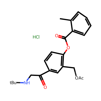 CC(=O)OCc1cc(C(=O)CNC(C)(C)C)ccc1OC(=O)c1ccccc1C.Cl